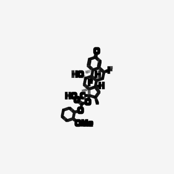 COC1CCCCC1OC(=O)O[C@@]1(C(=O)O)[C@H](C)C[C@H]2[C@@H]3C[C@H](F)C4=CC(=O)C=C[C@]4(C)C3(F)[C@@H](O)C[C@@]21C